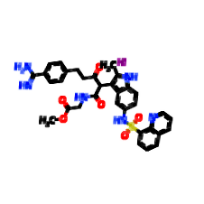 COC(=O)CNC(=O)C(C(=O)CCc1ccc(C(=N)N)cc1)c1c(C)[nH]c2ccc(NS(=O)(=O)c3cccc4cccnc34)cc12.I